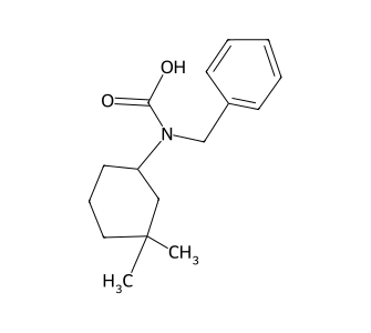 CC1(C)CCCC(N(Cc2ccccc2)C(=O)O)C1